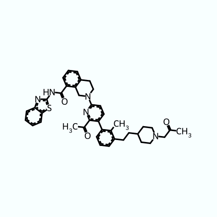 CC(=O)CN1CCC(CCc2cccc(-c3ccc(N4CCc5cccc(C(=O)Nc6nc7ccccc7s6)c5C4)nc3C(C)=O)c2C)CC1